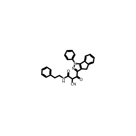 N#CC(C(=O)NCCc1ccccc1)C(=O)c1nn(-c2ccccc2)c2c1Cc1ccccc1-2